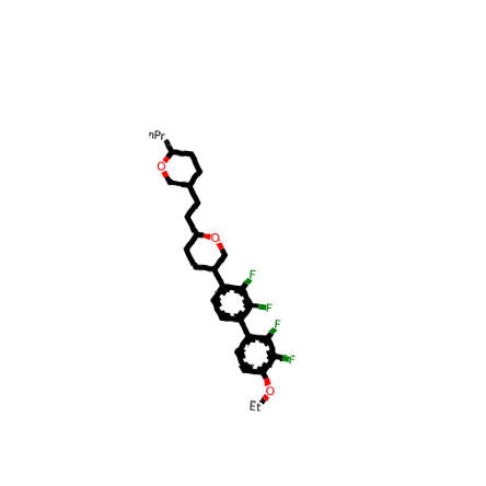 CCCC1CCC(CCC2CCC(c3ccc(-c4ccc(OCC)c(F)c4F)c(F)c3F)CO2)CO1